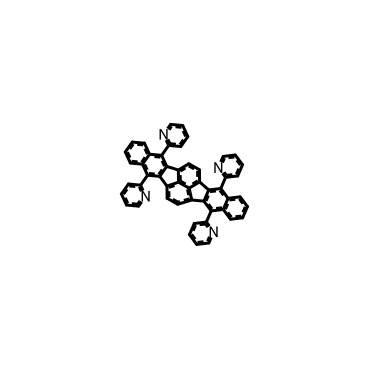 c1ccc(-c2c3c(c(-c4ccccn4)c4ccccc24)-c2ccc4c5c(ccc-3c25)-c2c-4c(-c3ccccn3)c3ccccc3c2-c2ccccn2)nc1